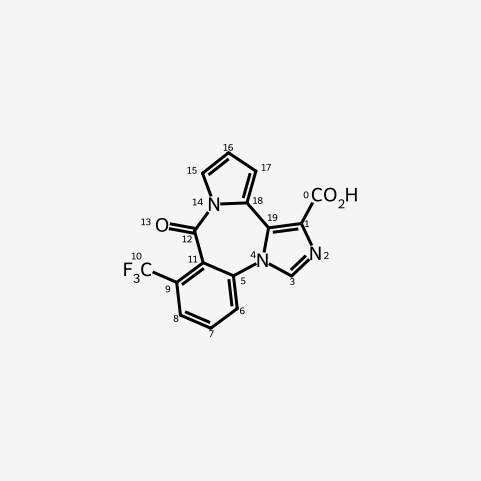 O=C(O)c1ncn2c3cccc(C(F)(F)F)c3c(=O)n3cccc3c12